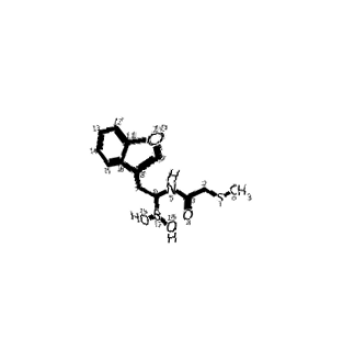 CSCC(=O)NC(Cc1coc2ccccc12)B(O)O